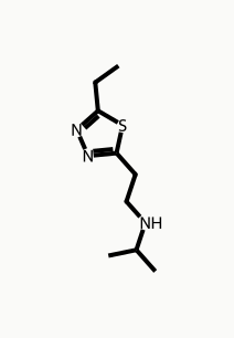 CCc1nnc(CCNC(C)C)s1